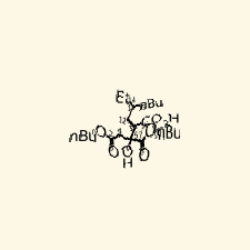 CCCCOC(=O)CC(O)(C(=O)OCCCC)C(CC(CC)CCCC)C(=O)O